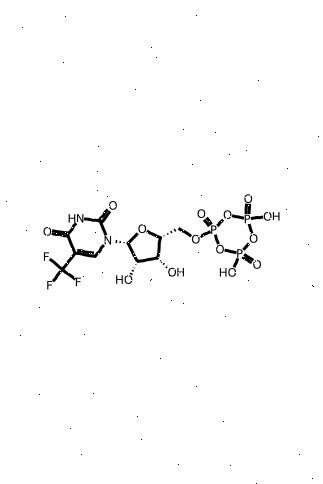 O=c1[nH]c(=O)n([C@@H]2O[C@H](COP3(=O)OP(=O)(O)OP(=O)(O)O3)[C@H](O)[C@@H]2O)cc1C(F)(F)F